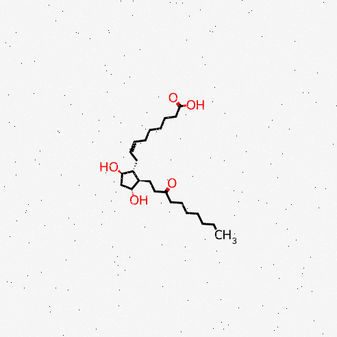 CCCCCCCC(=O)CC[C@@H]1[C@@H](C/C=C\CCCCCC(=O)O)[C@H](O)C[C@H]1O